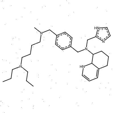 CCCN(CCC)CCCCN(C)Cc1ccc(CN(Cc2ncc[nH]2)C2CCCC3=CC=CNC32)cc1